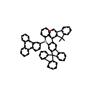 CC1(C)c2ccccc2-c2cccc(-c3cc4c(cc3N(c3ccccc3)c3ccc5c6ccccc6c6ccccc6c5c3)C3(c5ccccc5-c5ccccc53)c3ccccc3-4)c21